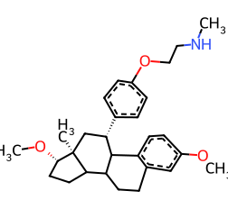 CNCCOc1ccc([C@H]2C[C@@]3(C)C(CC[C@@H]3OC)C3CCc4cc(OC)ccc4C32)cc1